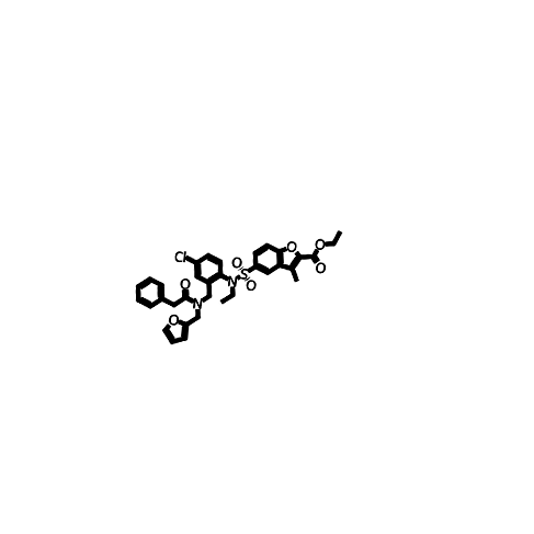 CCOC(=O)c1oc2ccc(S(=O)(=O)N(CC)c3ccc(Cl)cc3CN(Cc3ccco3)C(=O)Cc3ccccc3)cc2c1C